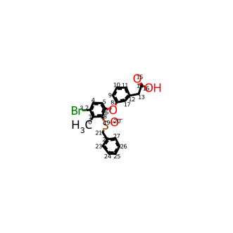 Cc1c(Br)ccc(Oc2cccc(CC(=O)O)c2)c1[S+]([O-])Cc1ccccc1